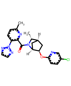 Cc1ccc(-n2nccn2)c(C(=O)N2[C@H](C)[C@H]3C[C@@H](Oc4ccc(Cl)cn4)[C@@H]2C3)n1